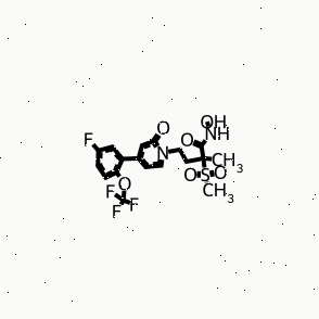 CC(CCn1ccc(-c2cc(F)ccc2OC(F)(F)F)cc1=O)(C(=O)NO)S(C)(=O)=O